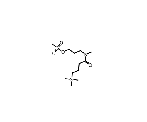 CN(CCCOS(C)(=O)=O)C(=O)CCC[Si](C)(C)C